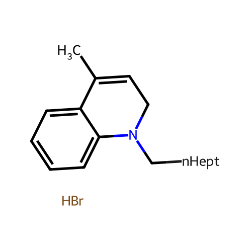 Br.CCCCCCCCN1CC=C(C)c2ccccc21